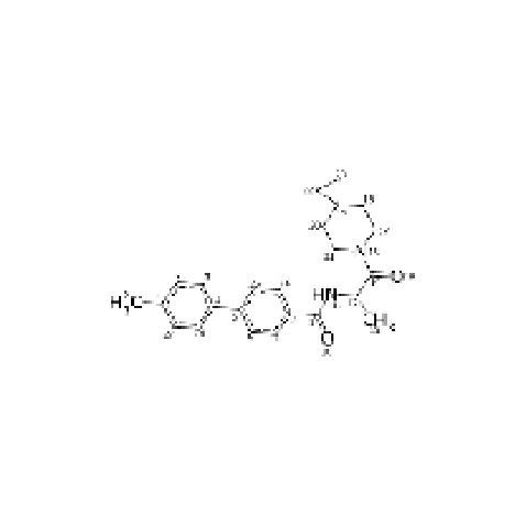 Cc1ccc(-c2ccc(C(=O)N[C@@H](C)C(=O)N3CCC4(CC3)CC4)cc2)cc1